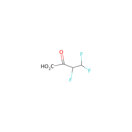 O=C(O)C(=O)C(F)C(F)F